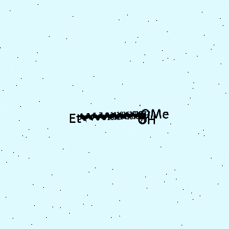 CCC=CCC=CCC=CCC=CCC=CCCCCCC(O)OC